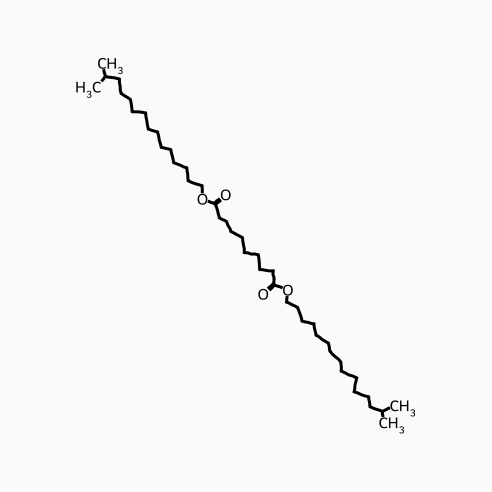 CC(C)CCCCCCCCCCCCCOC(=O)CCCCCCCCC(=O)OCCCCCCCCCCCCCC(C)C